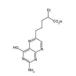 CCC(CCCc1cnc2nc(N)nc(O)c2n1)C(=O)O